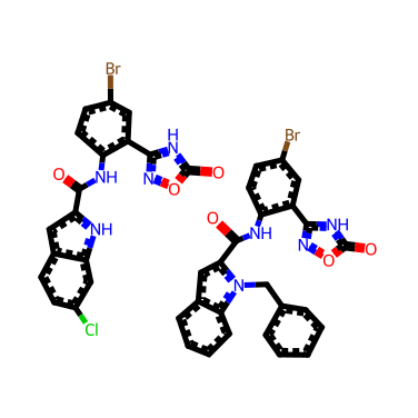 O=C(Nc1ccc(Br)cc1-c1noc(=O)[nH]1)c1cc2ccc(Cl)cc2[nH]1.O=C(Nc1ccc(Br)cc1-c1noc(=O)[nH]1)c1cc2ccccc2n1Cc1ccccc1